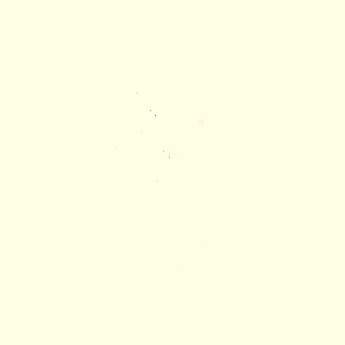 [CH2]C(O)N(C)C(=O)NCc1cccc(F)c1Cl